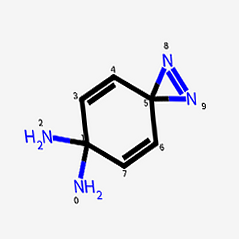 NC1(N)C=CC2(C=C1)N=N2